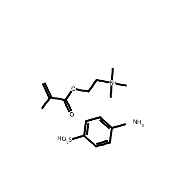 C=C(C)C(=O)OCC[N+](C)(C)C.Cc1ccc(S(=O)(=O)O)cc1.N